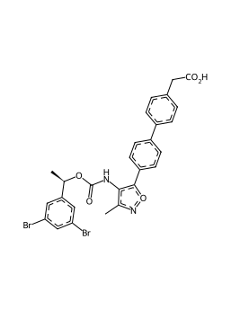 Cc1noc(-c2ccc(-c3ccc(CC(=O)O)cc3)cc2)c1NC(=O)O[C@H](C)c1cc(Br)cc(Br)c1